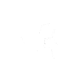 CCn1c(N)nc2ccccc21.CNC.Cl